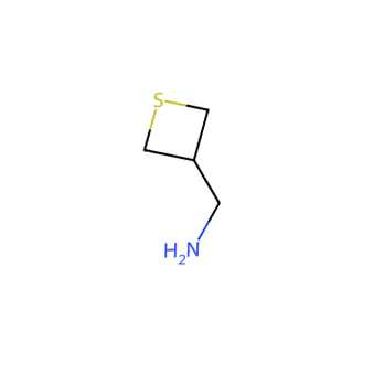 NCC1CSC1